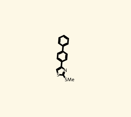 CSc1nc(-c2ccc(-c3ccccc3)cc2)cs1